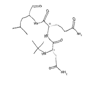 CC(C)CC(C=O)NC(=O)[C@H](CCC(N)=O)NC(=O)[C@H](CC(N)=O)NC(C)(C)C